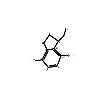 CCC1CCc2c(F)ccc(F)c21